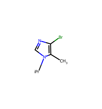 Cc1c(Br)ncn1C(C)C